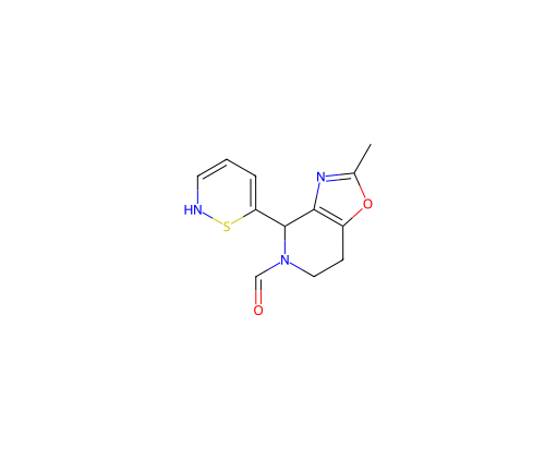 Cc1nc2c(o1)CCN(C=O)C2C1=CC=CNS1